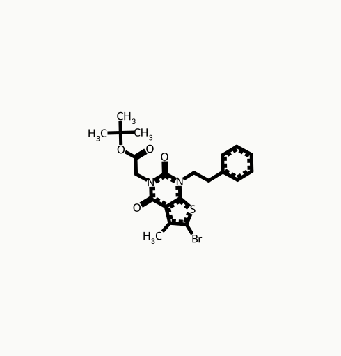 Cc1c(Br)sc2c1c(=O)n(CC(=O)OC(C)(C)C)c(=O)n2CCc1ccccc1